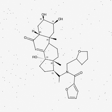 CC([C@H]1CC[C@@]2(O)C3=CC(=O)[C@@H]4C[C@@H](O)[C@@H](O)C[C@]4(C)C3CC[C@]12C)N(CC1CCCO1)C(=O)c1ccco1